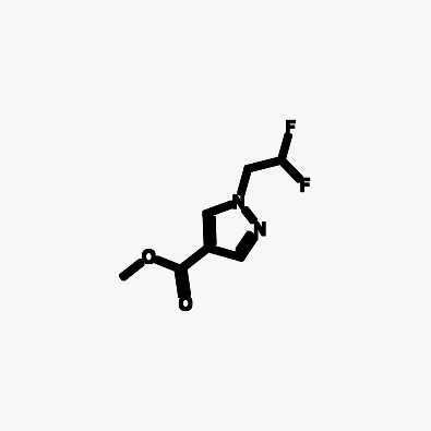 COC(=O)c1cnn(CC(F)F)c1